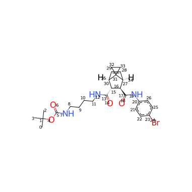 CC(C)(C)OC(=O)NCCCCNC(=O)[C@H]1[C@H](C(=O)Nc2ccc(Br)cc2)[C@@H]2C=C[C@H]1C21CC1